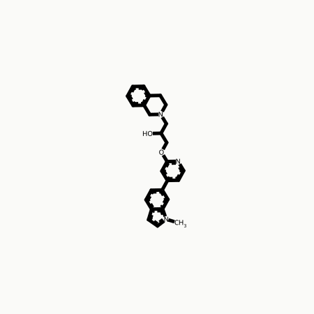 Cn1ccc2ccc(-c3ccnc(OCC(O)CN4CCc5ccccc5C4)c3)cc21